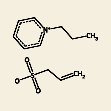 C=CCS(=O)(=O)[O-].CCC[n+]1ccccc1